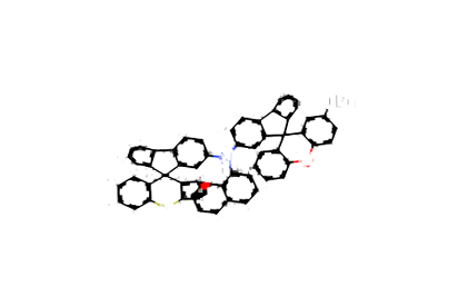 CC(C)(C)c1ccc2c(c1)C1(c3cc(C(C)(C)C)ccc3O2)c2ccccc2-c2ccc(N(c3ccc4c(c3)C3(c5ccccc5Sc5ccccc53)c3ccccc3-4)c3cccc4ccccc34)cc21